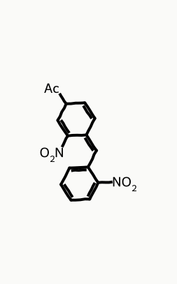 CC(=O)C1C=C/C(=C/c2ccccc2[N+](=O)[O-])C([N+](=O)[O-])=C1